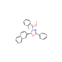 COC(=O)[C@@]1(Cc2ccccc2)N=C(c2ccccc2)O[C@H]1c1ccc2ccccc2c1